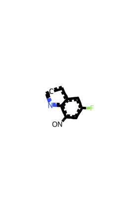 O=Nc1cc(F)cc2cccnc12